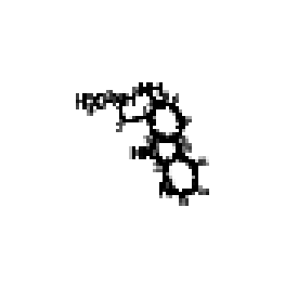 CNCc1c(N)ccc2c1[nH]c1ncccc12